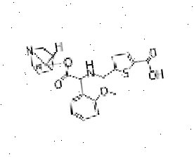 COc1ccccc1C(NCc1ccc(C(=O)O)s1)C(=O)O[C@H]1CN2CCC1CC2